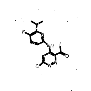 CC(C)c1nc(Nc2cc(Cl)nnc2C(=O)I)ccc1F